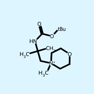 CC(C)(C[N+]1(C)CCOCC1)NC(=O)OC(C)(C)C